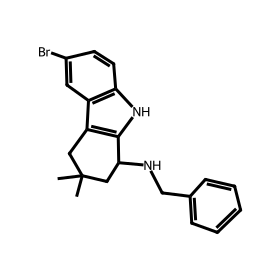 CC1(C)Cc2c([nH]c3ccc(Br)cc23)C(NCc2ccccc2)C1